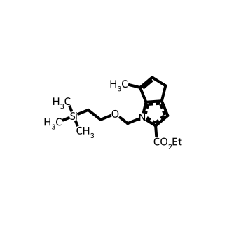 CCOC(=O)c1cc2c(n1COCC[Si](C)(C)C)C(C)=CC2